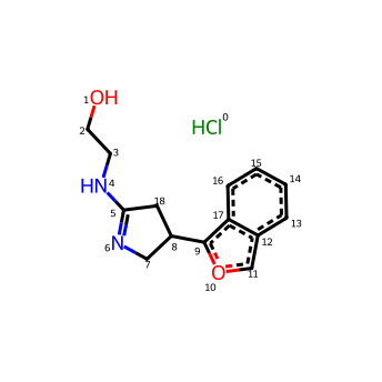 Cl.OCCNC1=NCC(c2occ3ccccc23)C1